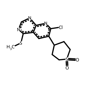 CSc1ncnc2nc(Cl)c(C3CCS(=O)(=O)CC3)cc12